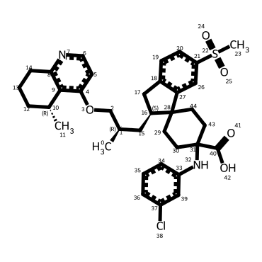 C[C@@H](COc1ccnc2c1[C@H](C)CCC2)C[C@H]1Cc2ccc(S(C)(=O)=O)cc2C12CCC(Nc1cccc(Cl)c1)(C(=O)O)CC2